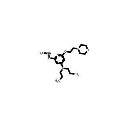 CCCN(CCC)c1cc(NNC)nc(OCCN2CCOCC2)c1